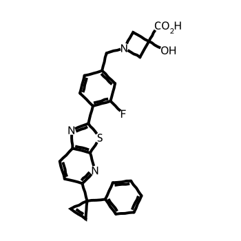 O=C(O)C1(O)CN(Cc2ccc(-c3nc4ccc(C5(c6ccccc6)C=C5)nc4s3)c(F)c2)C1